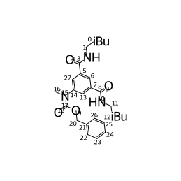 CCC(C)CNC(=O)c1cc(C(=O)NCC(C)CC)cc(N(C)C(=O)OCc2ccccc2)c1